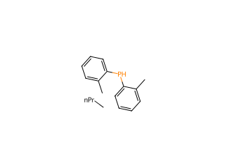 CCCC.Cc1ccccc1Pc1ccccc1C